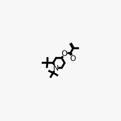 C=C(C)C(=O)OC1CCN(C(C)(C)C)C(C(C)(C)C)C1